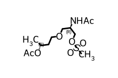 CC(=O)N[C@H](COCC[C@@H](C)OC(C)=O)COS(C)(=O)=O